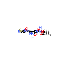 CC(C)(C)OC(=O)NCC(=O)N1CCC2(CC1)Cc1cc(/C=C/C(=O)N3CC=C(Cc4nccs4)CC3)cnc1NC2=O